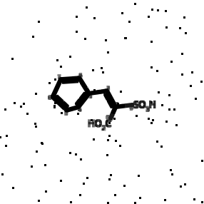 O=C(O)/C(=C\c1ccccc1)S(=O)(=O)O